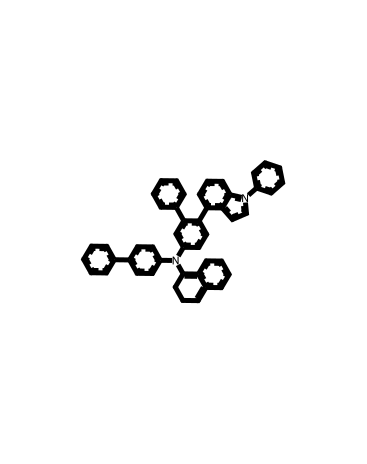 C1=c2ccccc2=C(N(c2ccc(-c3ccccc3)cc2)c2ccc(-c3cccc4c3ccn4-c3ccccc3)c(-c3ccccc3)c2)CC1